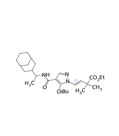 CCOC(=O)C(C)(C)/C=C/n1ncc(C(=O)NC(C)C2CC3CCCC(C3)C2)c1OCC(C)C